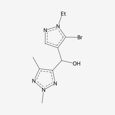 CCn1ncc(C(O)c2nn(C)nc2C)c1Br